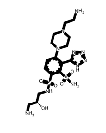 NCCN1CCN(c2ccc(S(=O)(=O)NC[C@H](O)CN)c(S(N)(=O)=O)c2-c2nnn[nH]2)CC1